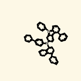 c1ccc(-c2ccc(N(c3ccc4c5c(-c6ccccc6)cccc5n(-c5ccccc5)c4c3)c3ccc(-c4ccccc4)c4ccccc34)cc2)cc1